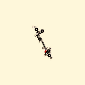 CN(C)c1ccc2c(c1)Oc1cc(N(C)C)ccc1C21OC(=O)c2ccc(C(=O)NCCCCCCOc3ccc(Cc4nc5c(Cc6ccccc6)[nH]c(-c6ccc(O)cc6)cn-5c4=O)cc3F)cc21